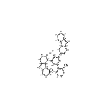 N#Cc1cccc(C#N)c1-c1cc(-c2ccc3sc4ccccc4c3c2)c(C#N)c(-c2cccc3sc4ccccc4c23)c1